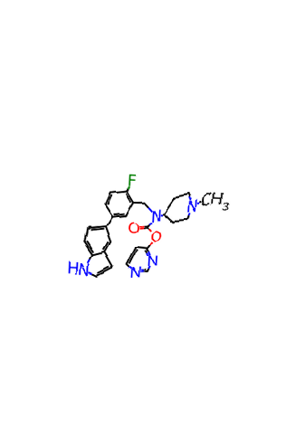 CN1CCC(N(Cc2cc(-c3ccc4[nH]ccc4c3)ccc2F)C(=O)Oc2ccncn2)CC1